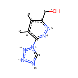 Cc1c(CO)nnc(-n2cnnn2)c1C